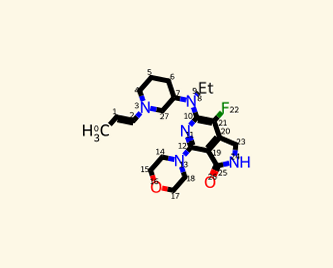 CC=CN1CCCC(N(CC)c2nc(N3CCOCC3)c3c(c2F)CNC3=O)C1